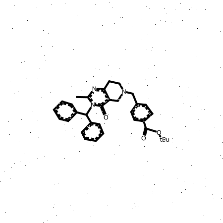 Cc1nc2c(c(=O)n1C(c1ccccc1)c1ccccc1)CN(Cc1ccc(C(=O)OC(C)(C)C)cc1)CC2